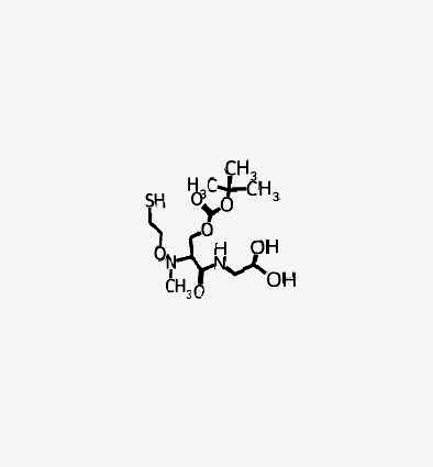 CN(OCCS)C(COC(=O)OC(C)(C)C)C(=O)NCC(O)O